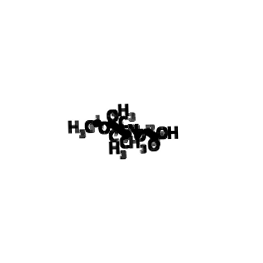 CCOC(=O)C(C)(C)C(C)=NOCC(=O)O